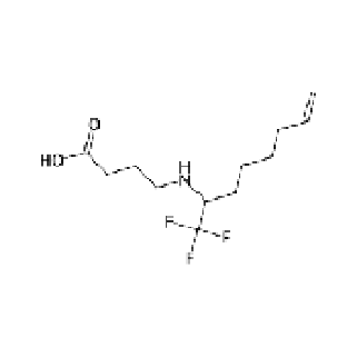 C=CCCCCC(NCCCC(=O)O)C(F)(F)F